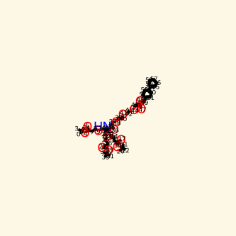 CC(C)(C)OC(=O)CCOCC(COCCC(=O)OC(C)(C)C)(COCCC(=O)OC(C)(C)C)NC(=O)COCCOCCOCC(=O)OCc1ccc(-c2ccccc2)cc1